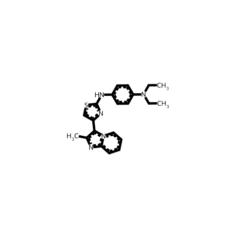 CCN(CC)c1ccc(Nc2nc(-c3c(C)nc4ccccn34)cs2)cc1